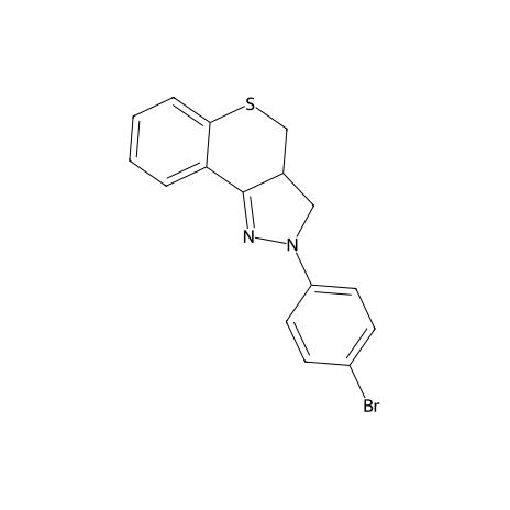 Brc1ccc(N2CC3CSc4ccccc4C3=N2)cc1